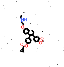 CCNCCOc1ccc(C(=C(CC)c2ccc3c(c2)OCO3)c2ccc(OC(=O)C3CC3)cc2)cc1